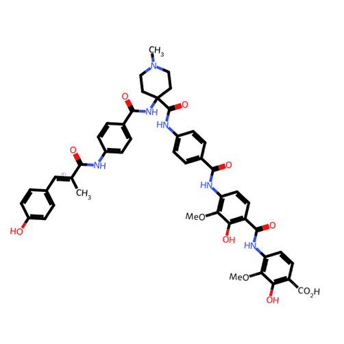 COc1c(NC(=O)c2ccc(NC(=O)c3ccc(NC(=O)C4(NC(=O)c5ccc(NC(=O)/C(C)=C/c6ccc(O)cc6)cc5)CCN(C)CC4)cc3)c(OC)c2O)ccc(C(=O)O)c1O